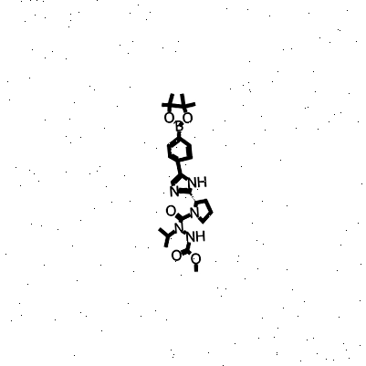 COC(=O)NN(C(=O)N1CCC[C@H]1c1ncc(-c2ccc(B3OC(C)(C)C(C)(C)O3)cc2)[nH]1)C(C)C